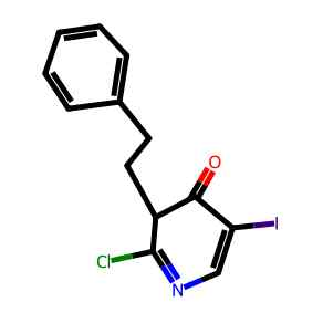 O=C1C(I)=CN=C(Cl)C1CCc1ccccc1